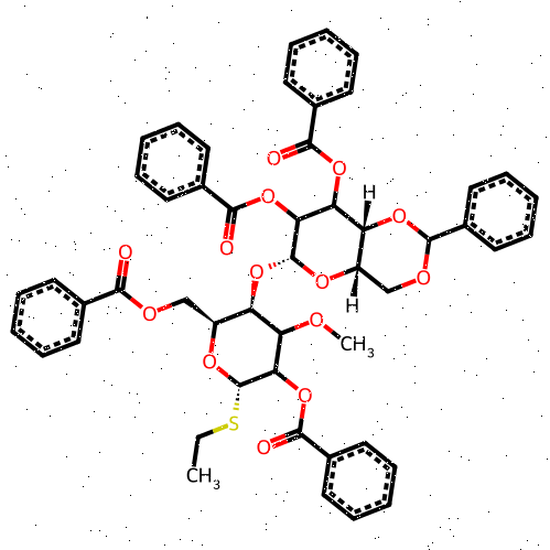 CCS[C@@H]1O[C@@H](COC(=O)c2ccccc2)[C@@H](O[C@H]2O[C@H]3COC(c4ccccc4)O[C@H]3C(OC(=O)c3ccccc3)C2OC(=O)c2ccccc2)C(OC)C1OC(=O)c1ccccc1